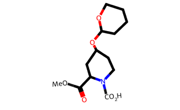 COC(=O)C1CC(OC2CCCCO2)CCN1C(=O)O